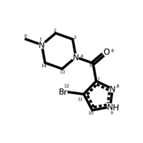 CN1CCN(C(=O)c2n[nH]cc2Br)CC1